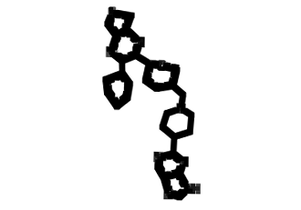 c1ccc(-c2nc3cscc3nc2-c2ccc(CN3CCC(c4ncc5nc[nH]c5n4)CC3)cc2)cc1